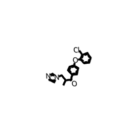 CC(Cn1ccnc1)C(=O)c1ccc(Oc2ccccc2Cl)cc1